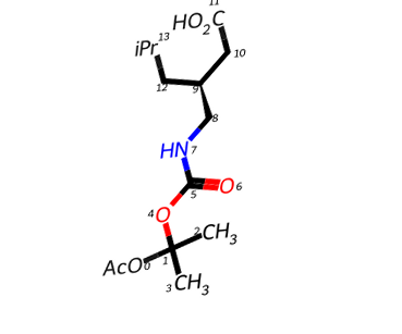 CC(=O)OC(C)(C)OC(=O)NC[C@H](CC(=O)O)CC(C)C